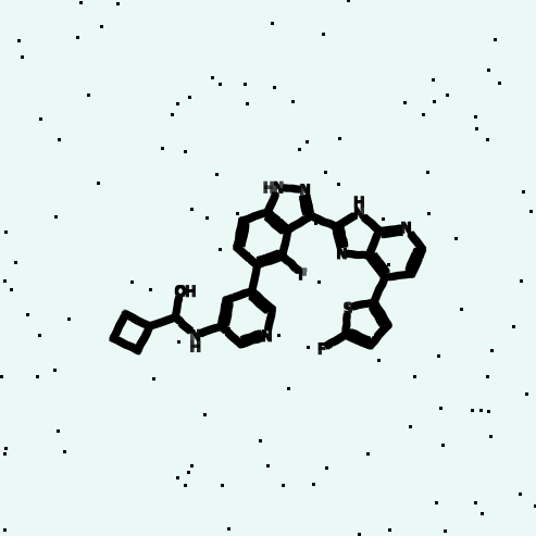 OC(Nc1cncc(-c2ccc3[nH]nc(-c4nc5c(-c6ccc(F)s6)ccnc5[nH]4)c3c2F)c1)C1CCC1